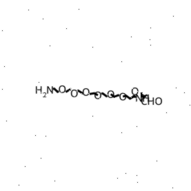 CC(C)(C=O)NC(=O)CCOCCOCCOCCOCCOCCOCCN